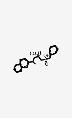 CC(CC(CP(=O)(O)Cc1ccccc1)C(=O)O)c1ccc2ccccc2c1